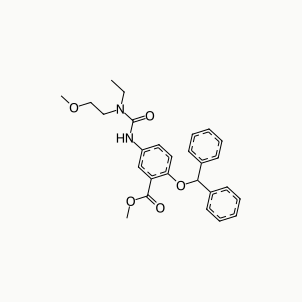 CCN(CCOC)C(=O)Nc1ccc(OC(c2ccccc2)c2ccccc2)c(C(=O)OC)c1